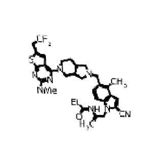 C=C(Cn1c(C#N)cc2c(C)c(CN3CC4CCN(c5nc(NC)nc6sc(CC(F)(F)F)cc56)CC4C3)ccc21)NC(=O)CC